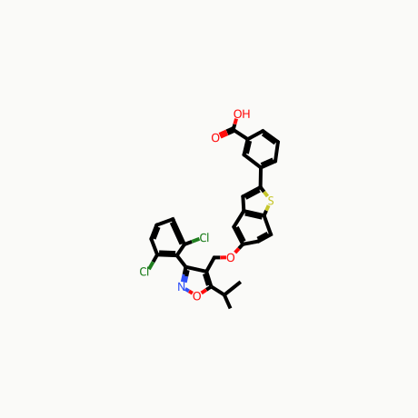 CC(C)c1onc(-c2c(Cl)cccc2Cl)c1COc1ccc2sc(-c3cccc(C(=O)O)c3)cc2c1